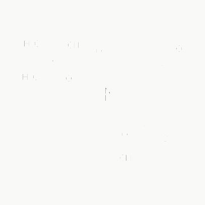 COC(=O)C1CC(=O)CC1NC(=O)OC(C)(C)C